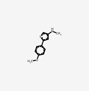 CNc1csc(-c2ccc(OC)cc2)c1